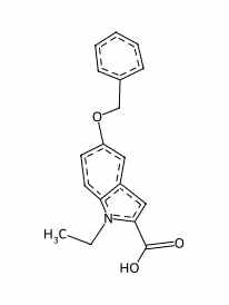 CCn1c(C(=O)O)cc2cc(OCc3ccccc3)ccc21